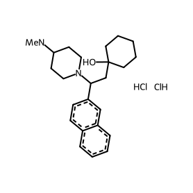 CNC1CCN(C(CC2(O)CCCCC2)c2ccc3ccccc3c2)CC1.Cl.Cl